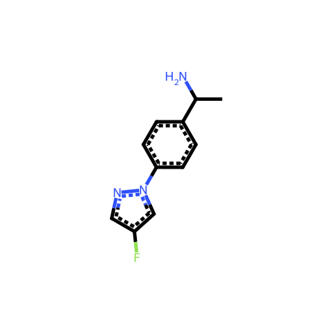 CC(N)c1ccc(-n2cc(F)cn2)cc1